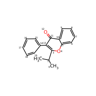 CC(C)c1oc2ccccc2c(=O)c1-c1ccccc1